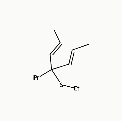 CC=CC(C=CC)(SCC)C(C)C